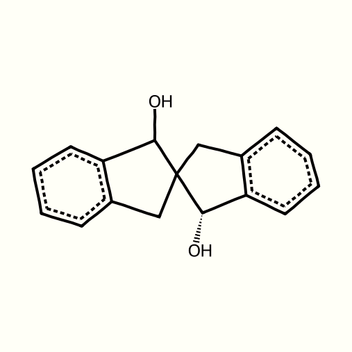 OC1c2ccccc2CC12Cc1ccccc1[C@@H]2O